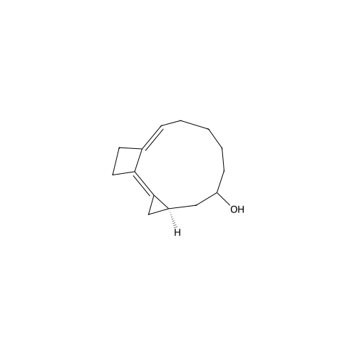 OC1CCCC/C=C2/CC/C2=C2\C[C@@H]2C1